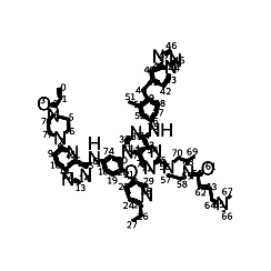 C=CC(=O)N1CCN(c2ccc3ncnc(Nc4ccc(Oc5ccc(CC)nc5)c(-[n+]5cnc(Nc6ccc(Cc7ccn8ncnc8c7)c(C)c6)c6nc(N7CCN(C(=O)/C=C/CN(C)C)C(C)C7)ncc65)c4)c3n2)CC1